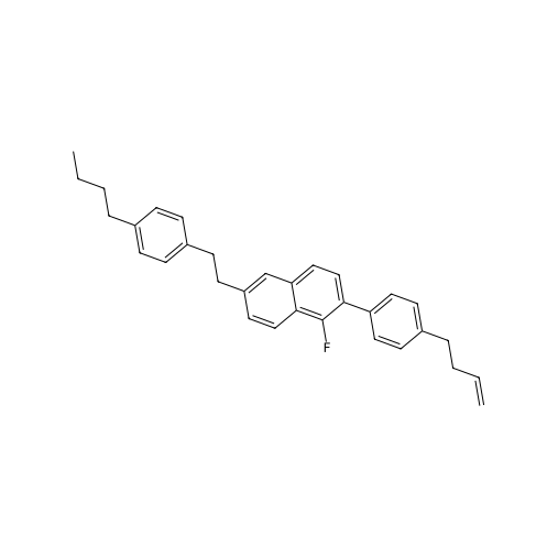 C=CCCc1ccc(-c2ccc3cc(CCc4ccc(CCCC)cc4)ccc3c2F)cc1